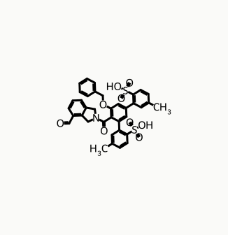 Cc1ccc(S(=O)(=O)O)c(-c2cc(OCc3ccccc3)c(C(=O)N3Cc4cccc(C=O)c4C3)c(-c3cc(C)ccc3S(=O)(=O)O)c2)c1